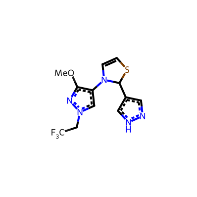 COc1nn(CC(F)(F)F)cc1N1C=CSC1c1cn[nH]c1